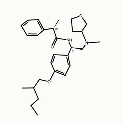 CCCC(C)COc1ccc([C@H](CN(C)C2CCOC2)NC(=O)[C@@H](C)c2ccccc2)cc1